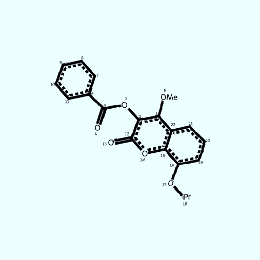 COc1c(OC(=O)c2ccccc2)c(=O)oc2c(OC(C)C)cccc12